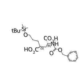 CC(C)(C)[Si](C)(C)OCCC[C@@H](C[C@@H](NC(=O)OCc1ccccc1)C(=O)O)C(=O)O